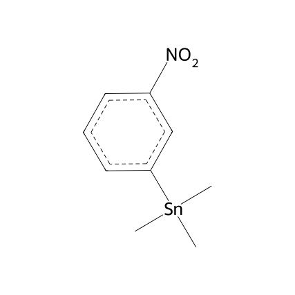 [CH3][Sn]([CH3])([CH3])[c]1cccc([N+](=O)[O-])c1